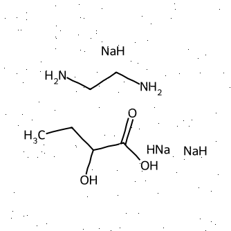 CCC(O)C(=O)O.NCCN.[NaH].[NaH].[NaH]